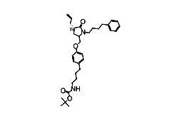 C=CC[C@H]1CC(COc2ccc(CCCCNC(=O)OC(C)(C)C)cc2)N(CCCCc2ccccc2)C1=O